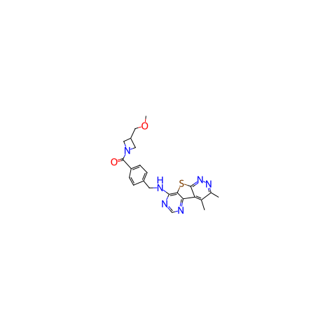 COCC1CN(C(=O)c2ccc(CNc3ncnc4c3sc3nnc(C)c(C)c34)cc2)C1